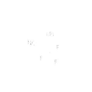 CCCC(C#N)C(F)(F)F